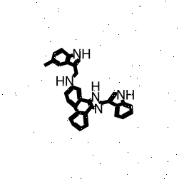 Cc1ccc2[nH]cc(CNc3ccc4c5ccccc5c5nc(-c6c[nH]c7ccccc67)[nH]c5c4c3)c2c1